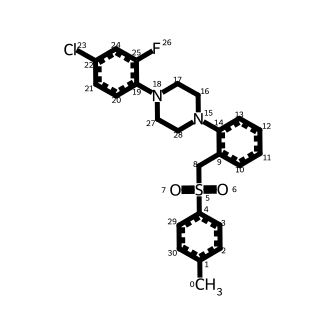 Cc1ccc(S(=O)(=O)Cc2ccccc2N2CCN(c3ccc(Cl)cc3F)CC2)cc1